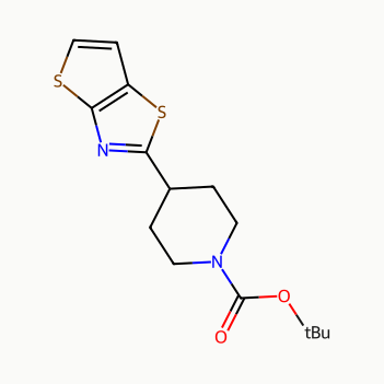 CC(C)(C)OC(=O)N1CCC(c2nc3sccc3s2)CC1